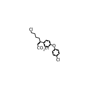 CCOC(=O)/C=C(/CCCCCl)c1ccc(Oc2ccc(Cl)cc2)cc1